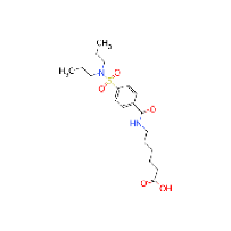 CCCN(CCC)S(=O)(=O)c1ccc(C(=O)NCCCCCC(=O)O)cc1